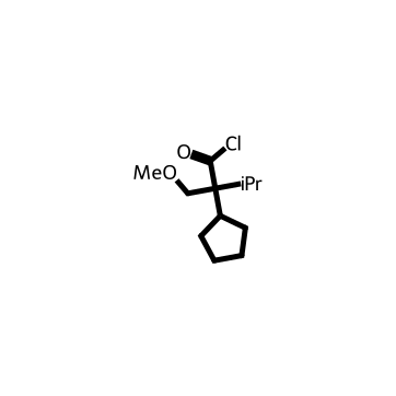 COCC(C(=O)Cl)(C(C)C)C1CCCC1